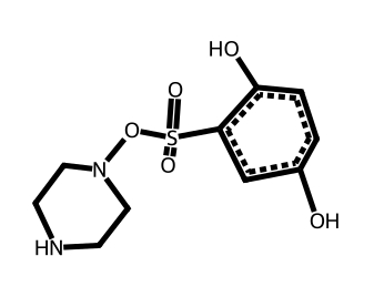 O=S(=O)(ON1CCNCC1)c1cc(O)ccc1O